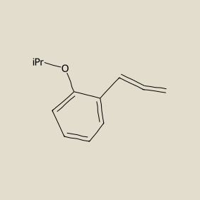 C=C=Cc1ccccc1OC(C)C